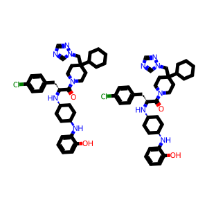 O=C([C@@H](Cc1ccc(Cl)cc1)N[C@H]1CC[C@@H](Nc2ccccc2O)CC1)N1CCC(Cn2cncn2)(C2CCCCC2)CC1.O=C([C@@H](Cc1ccc(Cl)cc1)N[C@H]1CC[C@H](Nc2ccccc2O)CC1)N1CCC(Cn2cncn2)(C2CCCCC2)CC1